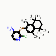 Cc1cc(Sc2c(N)ccnc2Cl)c(C)c2c1C(C)(C)CCC2(C)C